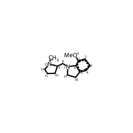 COc1cccc2c1N(CC1CCCN1C)CC2